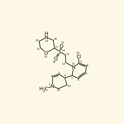 CN1C=CC(C2C=CC=C(Cl)N2CCS(=O)(=O)C2CNCCO2)CC1